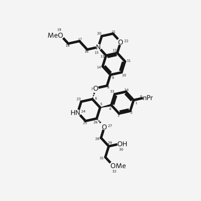 CCCc1ccc([C@@H]2[C@@H](OCc3ccc4c(c3)N(CCCOC)CCO4)CNC[C@H]2OCC(O)COC)cc1